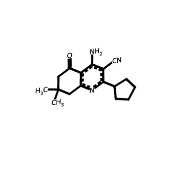 CC1(C)CC(=O)c2c(nc(C3CCCC3)c(C#N)c2N)C1